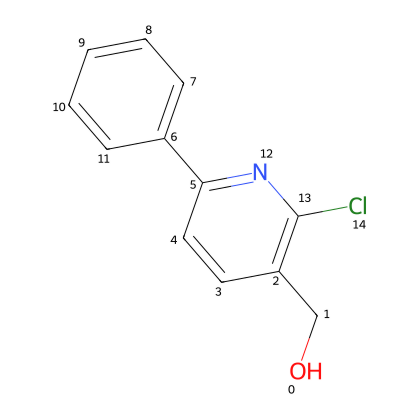 OCc1ccc(-c2ccccc2)nc1Cl